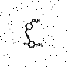 Cc1ccc(F)c(C#CCN2CCN(C(=O)O)CC2)c1